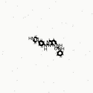 O=C(Nc1ccc2cnc(Nc3ccc(N4CCNCC4)cc3)nc2n1)NC1CCCCC1